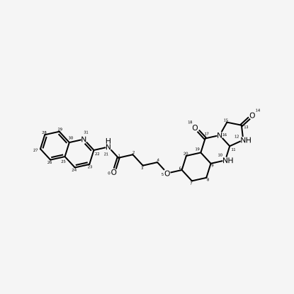 O=C(CCCOC1CCC2NC3NC(=O)CN3C(=O)C2C1)Nc1ccc2ccccc2n1